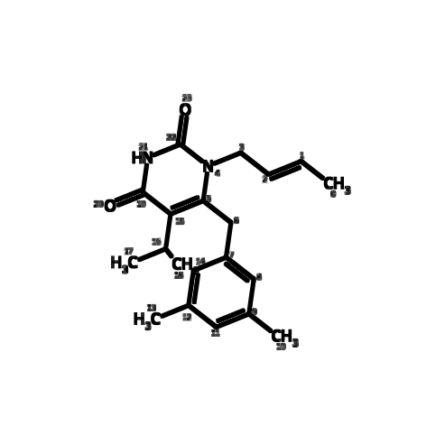 C/C=C/Cn1c(Cc2cc(C)cc(C)c2)c(C(C)C)c(=O)[nH]c1=O